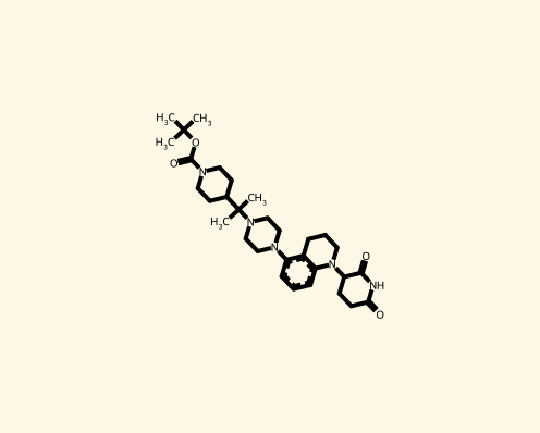 CC(C)(C)OC(=O)N1CCC(C(C)(C)N2CCN(c3cccc4c3CCCN4C3CCC(=O)NC3=O)CC2)CC1